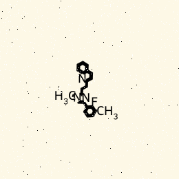 Cc1cccc(-c2cn(C)c(CCc3ccc4ccccc4n3)n2)c1F